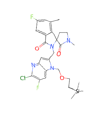 Cc1cc(F)cc2c1C1(CCN(C)C1=O)N(Cc1cc3nc(Cl)c(F)cc3n1COCC[Si](C)(C)C)C2=O